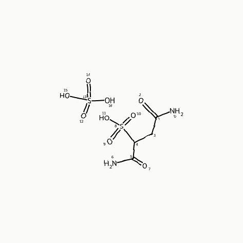 NC(=O)CC(C(N)=O)S(=O)(=O)O.O=S(=O)(O)O